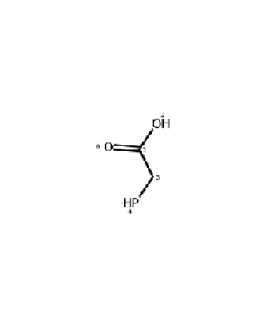 O=C(O)C[PH]